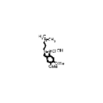 COc1cc2cn(CCCN(C)C)nc2cc1OC.Cl.Cl